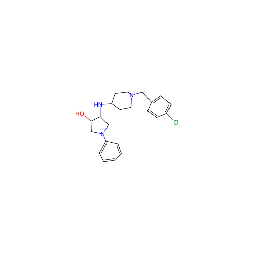 OC1CN(c2ccccc2)CC1NC1CCN(Cc2ccc(Cl)cc2)CC1